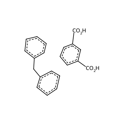 O=C(O)c1cccc(C(=O)O)c1.c1ccc(Cc2ccccc2)cc1